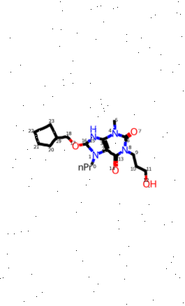 CCCN1c2c(n(C)c(=O)n(CCCO)c2=O)NC1OCC1CCCC1